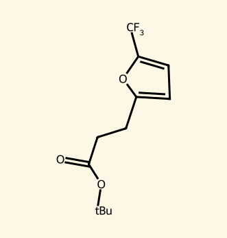 CC(C)(C)OC(=O)CCc1ccc(C(F)(F)F)o1